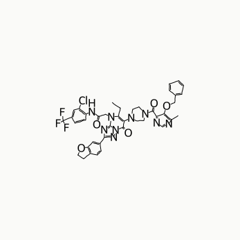 CCc1c(N2CCN(C(=O)c3ncnc(C)c3OCc3ccccc3)CC2)c(=O)n2nc(-c3ccc4c(c3)OCC4)nc2n1CC(=O)Nc1ccc(C(F)(F)F)cc1Cl